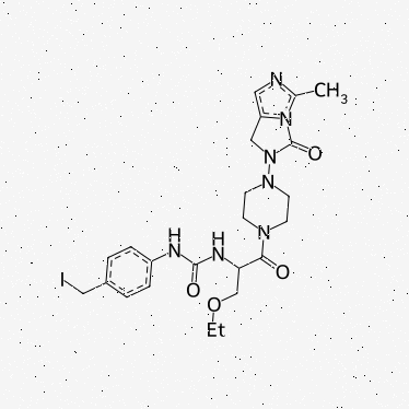 CCOCC(NC(=O)Nc1ccc(CI)cc1)C(=O)N1CCN(N2Cc3cnc(C)n3C2=O)CC1